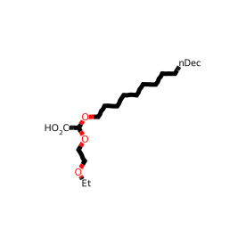 CCCCCCCCCCCCCCCCCCCOC(OCCOCC)C(=O)O